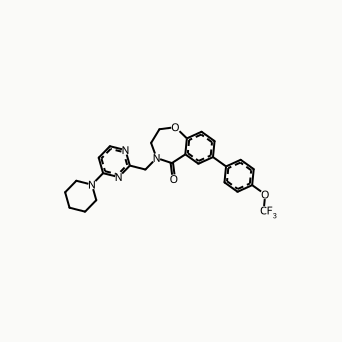 O=C1c2cc(-c3ccc(OC(F)(F)F)cc3)ccc2OCCN1Cc1nccc(N2CCCCC2)n1